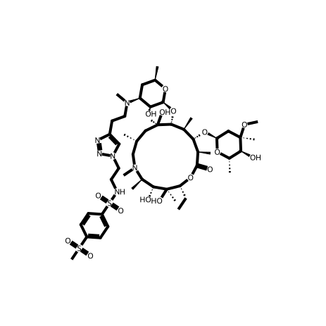 CC[C@H]1OC(=O)[C@H](C)[C@@H](O[C@H]2C[C@@](C)(OC)[C@@H](O)[C@H](C)O2)[C@H](C)[C@@H](O[C@@H]2O[C@H](C)C[C@H](N(C)CCc3cn(CCNS(=O)(=O)c4ccc(S(C)(=O)=O)cc4)nn3)[C@H]2O)[C@](C)(O)C[C@@H](C)CN(C)[C@H](C)[C@@H](O)[C@]1(C)O